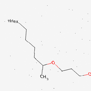 CCCCCCCCCCC(C)OCCCO